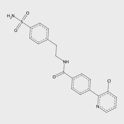 NS(=O)(=O)c1ccc(CCNC(=O)c2ccc(-c3ncccc3Cl)cc2)cc1